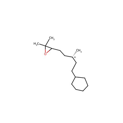 C[C@H](CCC1CCCCC1)CCC1OC1(C)C